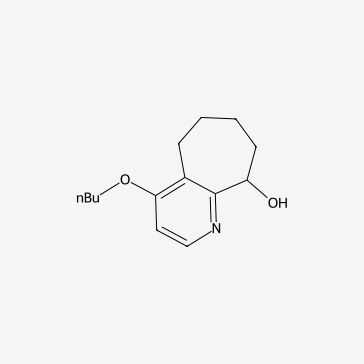 CCCCOc1ccnc2c1CCCCC2O